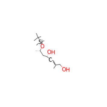 C/C(=C\C[C@@H](O)C[C@H](C)O[Si](C)(C)C(C)(C)C)CO